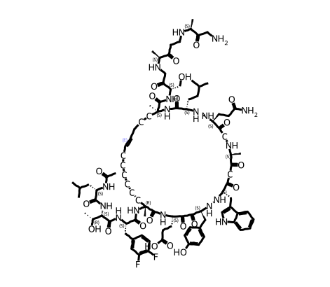 CC(=O)N[C@@H](CC(C)C)C(=O)N[C@H](C(=O)N[C@@H](Cc1ccc(F)c(F)c1)C(=O)N[C@]1(C)CCCCCC/C=C/CCC[C@@](C)(C(=O)N[C@@H](CO)C(=O)CN[C@@H](C)C(=O)CCN[C@@H](C)C(=O)CN)NC(=O)[C@H](CCC(C)C)NN[C@@H](CCC(N)=O)C(=O)CN[C@@H](C)C(=O)CC(=O)[C@H](Cc2c[nH]c3ccccc23)NN[C@@H](Cc2ccc(O)cc2)C(=O)C(=O)[C@H](CCC(=O)O)NC1=O)[C@@H](C)O